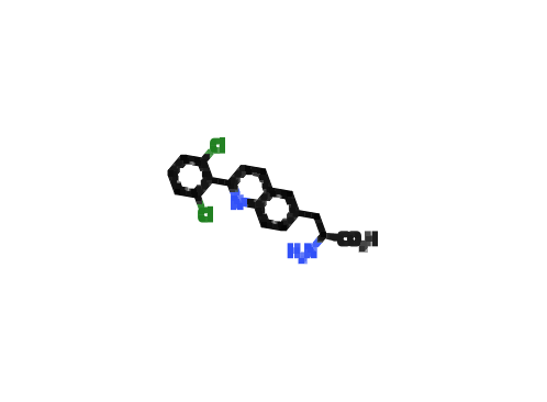 N[C@@H](Cc1ccc2nc(-c3c(Cl)cccc3Cl)ccc2c1)C(=O)O